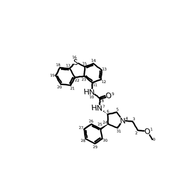 COCCN1C[C@@H](NC(=O)Nc2cccc3sc4ccccc4c23)[C@H](c2ccccc2)C1